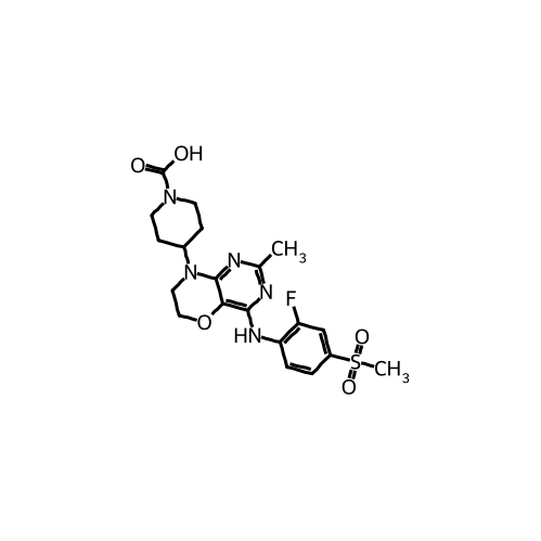 Cc1nc(Nc2ccc(S(C)(=O)=O)cc2F)c2c(n1)N(C1CCN(C(=O)O)CC1)CCO2